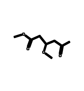 COC(=O)CC(CC(C)=O)OC